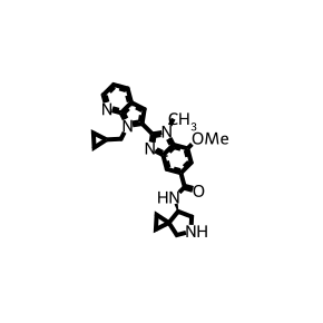 COc1cc(C(=O)N[C@H]2CNCC23CC3)cc2nc(-c3cc4cccnc4n3CC3CC3)n(C)c12